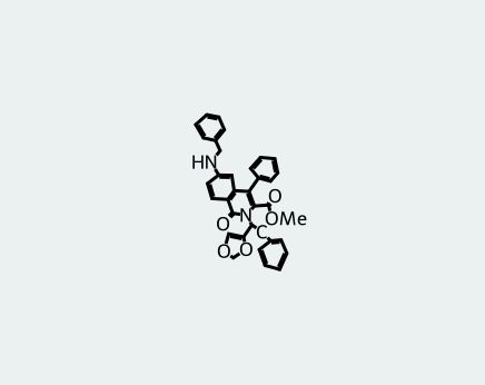 COC(=O)c1c(-c2ccccc2)c2cc(NCc3ccccc3)ccc2c(=O)n1C(Cc1ccccc1)C1=COCO1